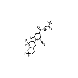 CC(C)(C)C(=O)CNC(=O)c1cc(C#N)n2c(CC3CCC(F)(F)CC3)c(C(F)(F)F)nc2c1